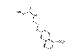 CC(C)(C)OC(=O)NCCOc1ccc2c(C(=O)O)ccnc2c1